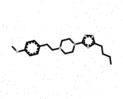 CCCCc1nsc(N2CCN(CCc3ccc(OC)cc3)CC2)n1